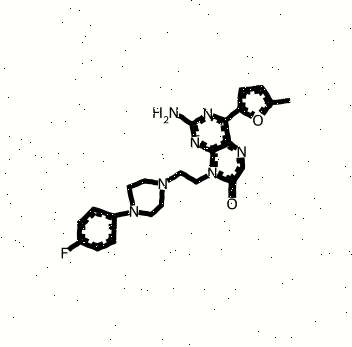 Cc1ccc(-c2nc(N)nc3c2ncc(=O)n3CCN2CCN(c3ccc(F)cc3)CC2)o1